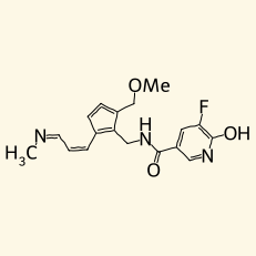 C/N=C\C=C/C1=C(CNC(=O)c2cnc(O)c(F)c2)C(COC)=C=C1